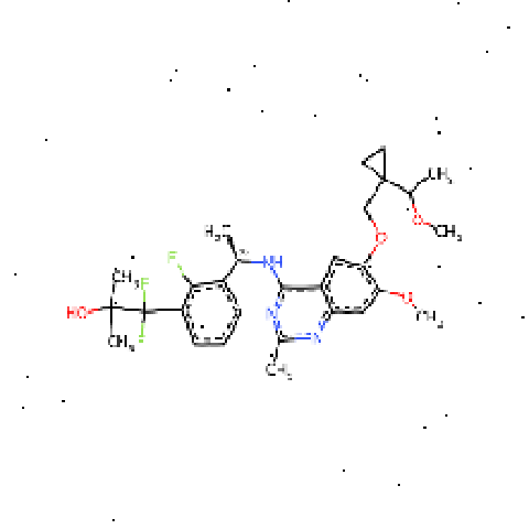 COc1cc2nc(C)nc(N[C@H](C)c3cccc(C(F)(F)C(C)(C)O)c3F)c2cc1OCC1(C(C)OC)CC1